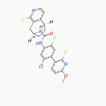 COc1ccc(-c2cc(F)c(NC(=O)N3[C@H]4CC[C@@H]3c3ccnc(F)c3C4)cc2Cl)c(F)n1